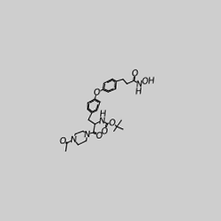 CC(=O)N1CCN(C(=O)C(Cc2ccc(Oc3ccc(CCC(=O)NO)cc3)cc2)NC(=O)OC(C)(C)C)CC1